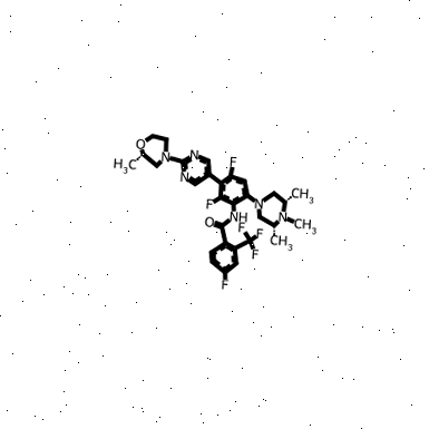 C[C@@H]1CN(c2cc(F)c(-c3cnc(N4CCO[C@@H](C)C4)nc3)c(F)c2NC(=O)c2ccc(F)cc2C(F)(F)F)C[C@H](C)N1C